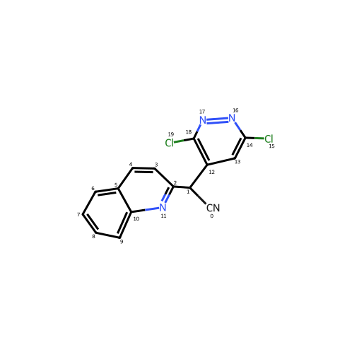 N#CC(c1ccc2ccccc2n1)c1cc(Cl)nnc1Cl